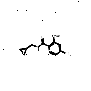 COc1cc(C(F)(F)F)ccc1C(=O)NCC1CC1